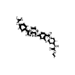 CCOC(=O)NC1CCN(C(=O)c2ccc(Nc3nccn4c(-c5ccc(OC(F)F)cc5)cnc34)cc2C)CC1